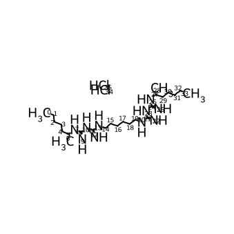 CCCCCC(C)NC(=N)NC(=N)NCCCCCCNC(=N)NC(=N)NC(C)CCCCC.Cl.Cl